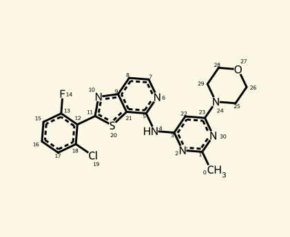 Cc1nc(Nc2nccc3nc(-c4c(F)cccc4Cl)sc23)cc(N2CCOCC2)n1